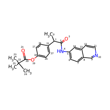 CC(C(=O)Nc1ccc2cnccc2c1)c1ccc(OC(=O)C(C)(C)C)cc1